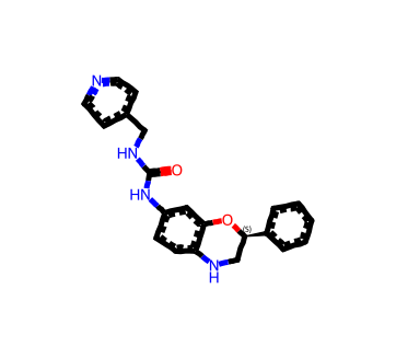 O=C(NCc1ccncc1)Nc1ccc2c(c1)O[C@@H](c1ccccc1)CN2